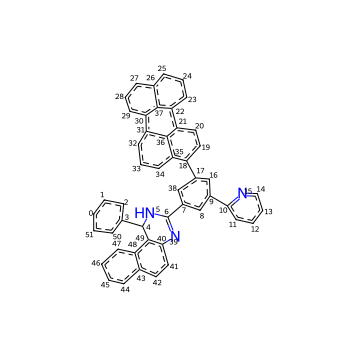 c1ccc(C2NC(c3cc(-c4ccccn4)cc(-c4ccc5c6cccc7cccc(c8cccc4c85)c76)c3)=Nc3ccc4ccccc4c32)cc1